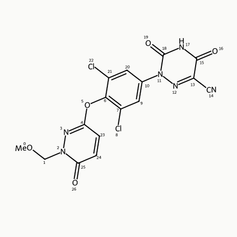 COCn1nc(Oc2c(Cl)cc(-n3nc(C#N)c(=O)[nH]c3=O)cc2Cl)ccc1=O